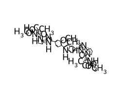 COC(=O)N[C@H](C(=O)N1CCC[C@H]1c1ncc(-c2ccc3c(c2)OC(C)(C)c2c-3[nH]c3ccc(-c4cnc([C@@H]5CCCN5C(=O)[C@@H](NC(=O)OC)C(C)C)[nH]4)cc23)[nH]1)C(C)C